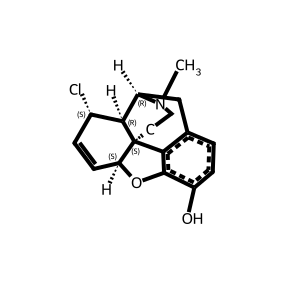 CN1CC[C@]23c4c5ccc(O)c4O[C@H]2C=C[C@H](Cl)[C@H]3[C@H]1C5